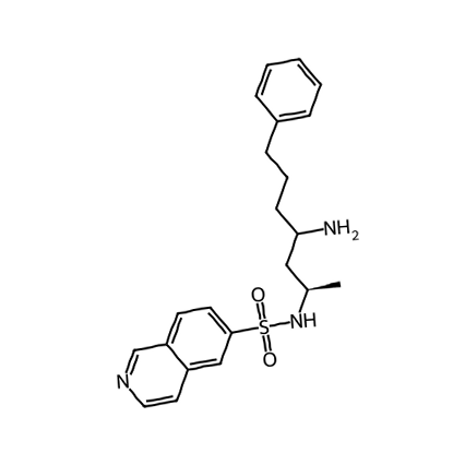 C[C@H](CC(N)CCCc1ccccc1)NS(=O)(=O)c1ccc2cnccc2c1